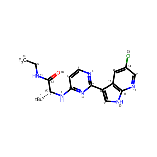 CC(C)(C)[C@@H](Nc1ccnc(-c2c[nH]c3ncc(Cl)cc23)n1)C(=O)NCC(F)(F)F